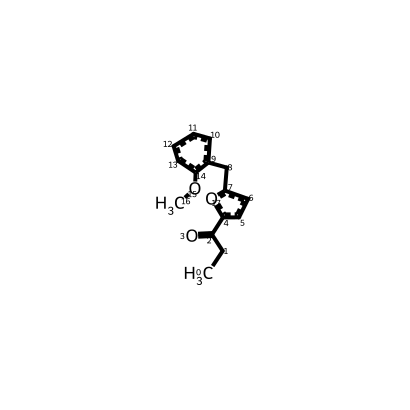 CCC(=O)c1ccc(Cc2ccccc2OC)o1